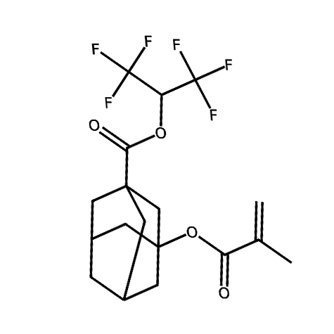 C=C(C)C(=O)OC12CC3CC(C1)CC(C(=O)OC(C(F)(F)F)C(F)(F)F)(C3)C2